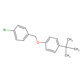 CC(C)(C)c1ccc(OCc2ccc(Br)cc2)cc1